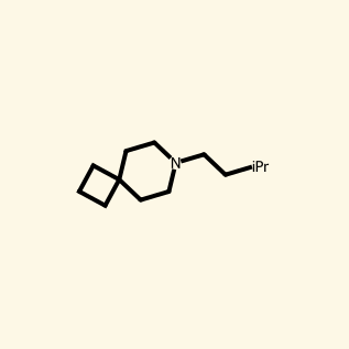 CC(C)CCN1CCC2(CCC2)CC1